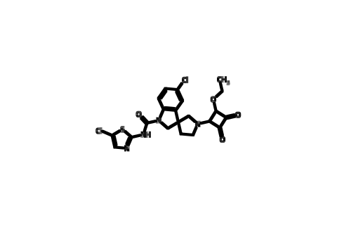 CCOC1C(=O)C(=O)C1N1CCC2(CN(C(=O)Nc3ncc(Cl)s3)c3ccc(Cl)cc32)C1